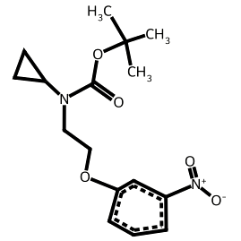 CC(C)(C)OC(=O)N(CCOc1cccc([N+](=O)[O-])c1)C1CC1